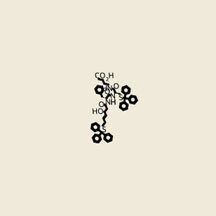 O=C(O)CCCCNC(=O)[C@@H](CSC(c1ccccc1)(c1ccccc1)c1ccccc1)NC(=O)[C@@H](Cc1ccccc1)NC(=O)C[C@H](O)/C=C/CCSC(c1ccccc1)(c1ccccc1)c1ccccc1